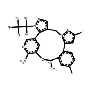 [2H]C([2H])([2H])C([2H])([2H])n1ncc2c1-c1cnc(N)c(c1)O[C@H](C)c1cc(F)ccc1-c1cc(Cl)nn1C2